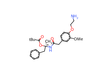 COc1cc(CC(=O)N[C@@](C)(Cc2ccccc2)OC(=O)C(C)(C)C)ccc1OCCN